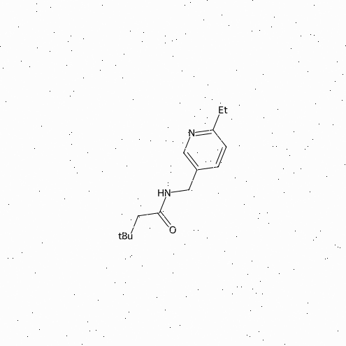 CCc1ccc(CNC(=O)CC(C)(C)C)cn1